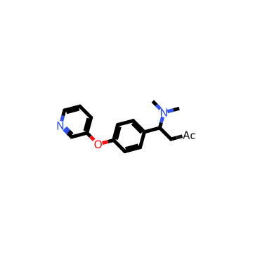 CC(=O)CC(c1ccc(Oc2cccnc2)cc1)N(C)C